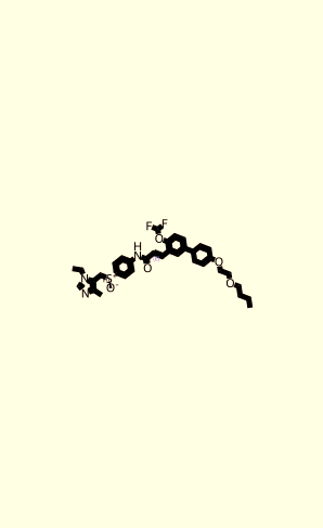 CCCCOCCOC1=CCC(c2ccc(OC(F)F)c(/C=C/C(=O)Nc3ccc([S@@+]([O-])Cc4c(C)ncn4CC)cc3)c2)C=C1